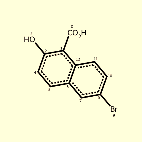 O=C(O)c1c(O)ccc2cc(Br)ccc12